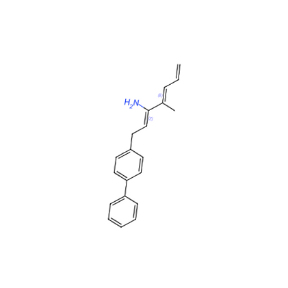 C=C/C=C(C)/C(N)=C/Cc1ccc(-c2ccccc2)cc1